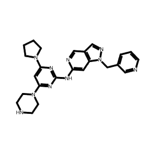 c1cncc(Cn2ncc3cnc(Nc4nc(N5CCCC5)cc(N5CCNCC5)n4)cc32)c1